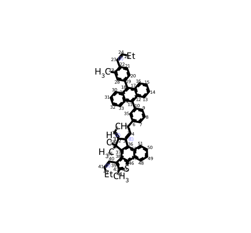 C/C=C1\C(=C/Cc2cccc(-c3c4ccccc4c(-c4ccc(/C=C\CC)c(C)c4)c4ccccc34)c2)c2c(c3c(/C=C\CC)c(C)sc3c3ccccc23)C1(C)C